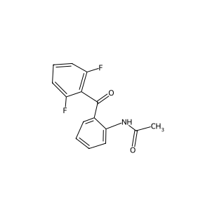 CC(=O)Nc1ccccc1C(=O)c1c(F)cccc1F